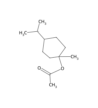 C[C](C)C1CCC(C)(OC(C)=O)CC1